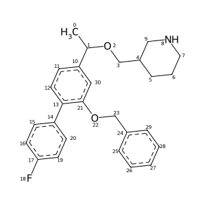 CC(OCC1CCCNC1)c1ccc(-c2ccc(F)cc2)c(OCc2ccccc2)c1